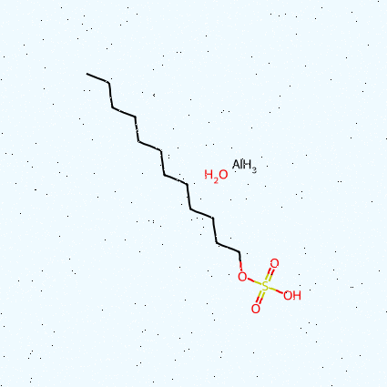 CCCCCCCCCCCCOS(=O)(=O)O.O.[AlH3]